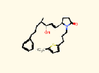 C[C@H](CCCc1ccccc1)[C@@H](O)C=C[C@H]1CCC(=O)N1CCCc1ccc(C(=O)O)s1